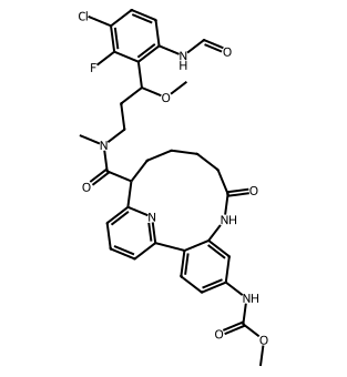 COC(=O)Nc1ccc2c(c1)NC(=O)CCCCC(C(=O)N(C)CCC(OC)c1c(NC=O)ccc(Cl)c1F)c1cccc-2n1